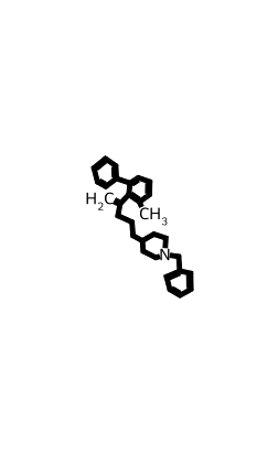 C=C(CCCC1CCN(Cc2ccccc2)CC1)c1c(C)cccc1-c1ccccc1